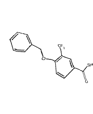 O=C(S)c1ccc(OCc2ccccc2)c(C(F)(F)F)c1